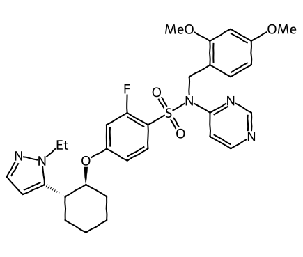 CCn1nccc1[C@H]1CCCC[C@@H]1Oc1ccc(S(=O)(=O)N(Cc2ccc(OC)cc2OC)c2ccncn2)c(F)c1